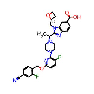 CC(c1nc2ccc(C(=O)O)cc2n1C[C@@H]1CCO1)N1CCN(c2nc(OCc3ccc(C#N)cc3F)ccc2F)CC1